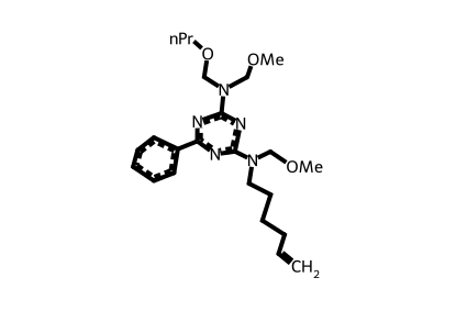 C=CCCCCN(COC)c1nc(-c2ccccc2)nc(N(COC)COCCC)n1